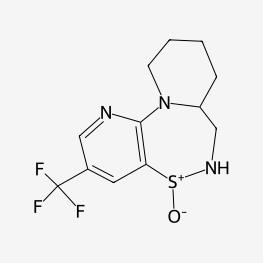 [O-][S+]1NCC2CCCCN2c2ncc(C(F)(F)F)cc21